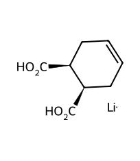 O=C(O)[C@H]1CC=CC[C@H]1C(=O)O.[Li]